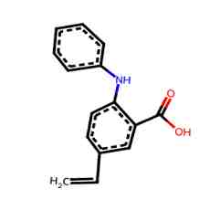 C=Cc1ccc(Nc2ccccc2)c(C(=O)O)c1